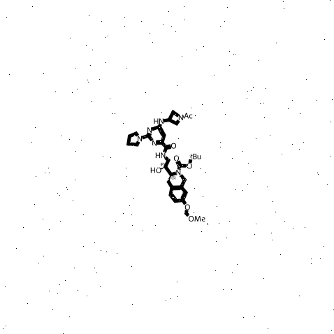 COCOc1ccc2c(c1)CN(C(=O)OC(C)(C)C)[C@H]([C@H](O)CNC(=O)c1cc(NC3CN(C(C)=O)C3)nc(N3CCCC3)n1)C2